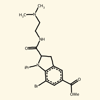 COC(=O)c1cc(Br)c2c(c1)CC(C(=O)NCCN(C)C)N2C(C)C